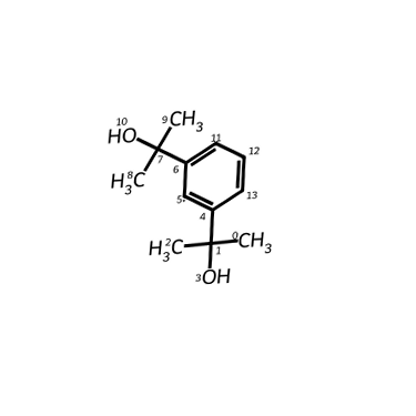 CC(C)(O)c1[c]c(C(C)(C)O)ccc1